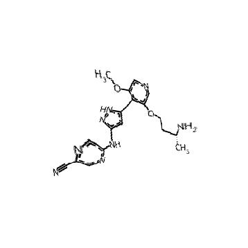 COc1cncc(OCC[C@@H](C)N)c1-c1cc(Nc2cnc(C#N)cn2)n[nH]1